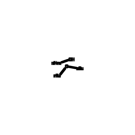 CCCCCCO.CCCCOCCCC